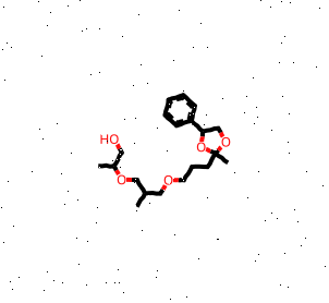 CC(COCCCC1(C)OCC(c2ccccc2)O1)COC(C)CO